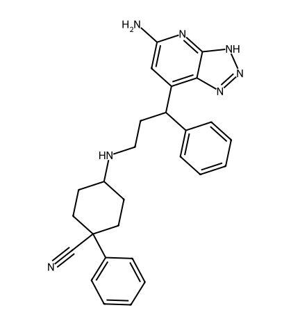 N#CC1(c2ccccc2)CCC(NCCC(c2ccccc2)c2cc(N)nc3[nH]nnc23)CC1